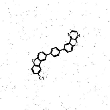 N#Cc1ccc2oc3ccc(-c4ccc(-c5ccc6oc7nccnc7c6c5)cc4)cc3c2c1